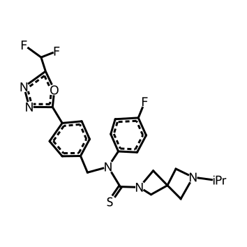 CC(C)N1CC2(CN(C(=S)N(Cc3ccc(-c4nnc(C(F)F)o4)cc3)c3ccc(F)cc3)C2)C1